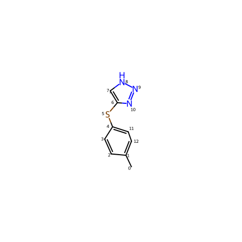 Cc1ccc(Sc2[c][nH]nn2)cc1